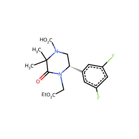 CCOC(=O)CN1C(=O)C(C)(C)N(C(=O)O)C[C@@H]1c1cc(F)cc(F)c1